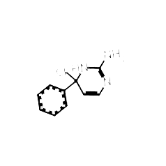 NC1=NC=CC(Cl)(c2ccccc2)N1